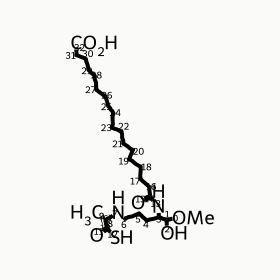 COC(O)C(CCCN[C@@H](C)C(=O)S)NC(=O)CCCCCCCCCCCCCCCCC(=O)O